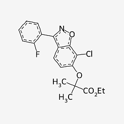 CCOC(=O)C(C)(C)Oc1ccc2c(-c3ccccc3F)noc2c1Cl